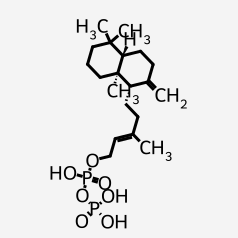 C=C1CC[C@H]2C(C)(C)CCC[C@]2(C)[C@H]1CCC(C)=CCOP(=O)(O)OP(=O)(O)O